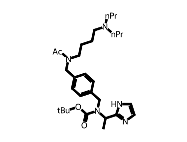 CCCN(CCC)CCCCN(Cc1ccc(CN(C(=O)OC(C)(C)C)C(C)c2ncc[nH]2)cc1)C(C)=O